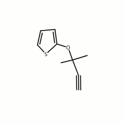 C#CC(C)(C)Oc1cccs1